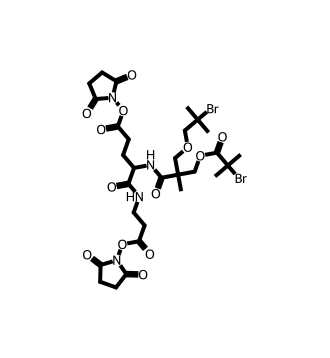 CC(C)(Br)COCC(C)(COC(=O)C(C)(C)Br)C(=O)NC(CCC(=O)ON1C(=O)CCC1=O)C(=O)NCCC(=O)ON1C(=O)CCC1=O